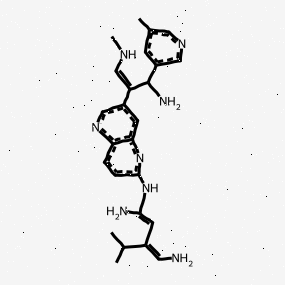 CN/C=C(/c1cnc2ccc(N/C(N)=C/C(=C\N)C(C)C)nc2c1)C(N)c1cncc(C)c1